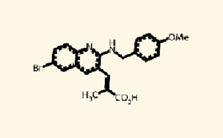 COc1ccc(CNc2nc3ccc(Br)cc3cc2C=C(C)C(=O)O)cc1